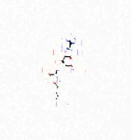 CCCCCCCCCCCCCCC(=O)N[C@H](C(=O)N[C@@H]1[C@@H](O)[C@H](O)[C@@H](Nc2ncnc3nc[nH]c23)O[C@H]1CO)[C@@H](C)O